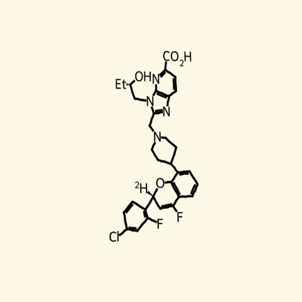 [2H][C@]1(c2ccc(Cl)cc2F)C=C(F)c2cccc(C3CCN(Cc4nc5ccc(C(=O)O)nc5n4C[C@@H](O)CC)CC3)c2O1